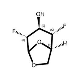 O[C@H]1[C@H](F)[C@H]2COC(O2)[C@@H]1F